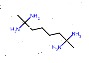 CC(N)(N)CCCCC(C)(N)N